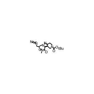 CN1OC(CN=[N+]=[N-])Cn2nc3c(c2C1=O)CN(C(=O)OC(C)(C)C)CC3